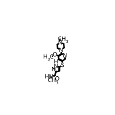 CNC(=O)c1cc(Sc2cnc(N3CCN(C)CC3)c(OC)c2)[nH]n1